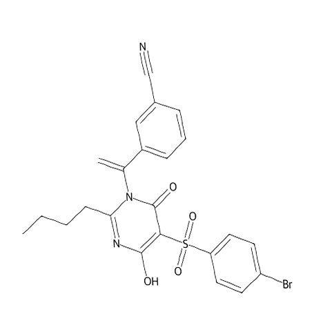 C=C(c1cccc(C#N)c1)n1c(CCCC)nc(O)c(S(=O)(=O)c2ccc(Br)cc2)c1=O